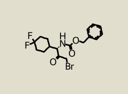 O=C(N[C@H](C(=O)CBr)C1CCC(F)(F)CC1)OCc1ccccc1